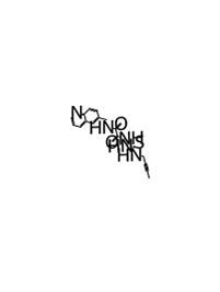 CC#CCNC(=S)NNC(=O)C(=O)NCc1ccc2ncccc2c1